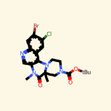 CN1C(=O)C2(C)CN(C(=O)OC(C)(C)C)CCN2c2c1cnc1cc(Br)c(Cl)cc21